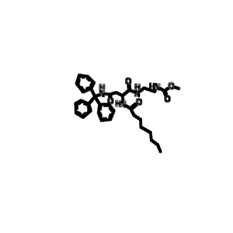 CCCCCCCC(=O)NC(CC(=O)NC(c1ccccc1)(c1ccccc1)c1ccccc1)C(=O)NCCNC(=O)OC